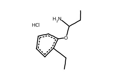 CCc1ccccc1OC(N)CC.Cl